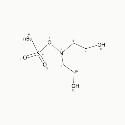 CCCCS(=O)(=O)ON(CCO)CCO